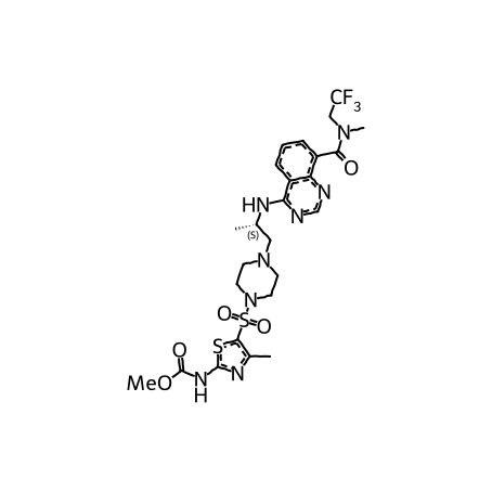 COC(=O)Nc1nc(C)c(S(=O)(=O)N2CCN(C[C@H](C)Nc3ncnc4c(C(=O)N(C)CC(F)(F)F)cccc34)CC2)s1